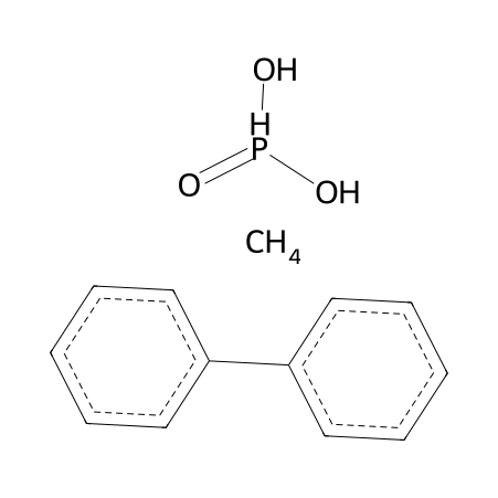 C.O=[PH](O)O.c1ccc(-c2ccccc2)cc1